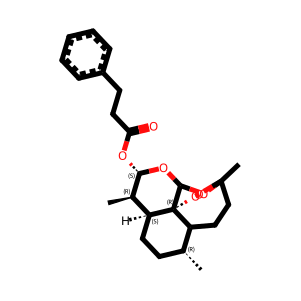 C[C@H]1[C@H](OC(=O)CCc2ccccc2)OC2OC3(C)CCC4[C@H](C)CC[C@@H]1[C@@]24OO3